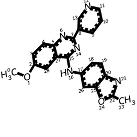 COc1ccc2nc(-c3cccnc3)nc(Nc3ccc4nc(C)oc4c3)c2c1